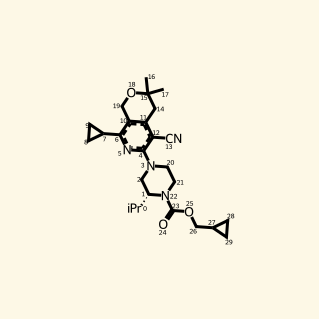 CC(C)[C@@H]1CN(c2nc(C3CC3)c3c(c2C#N)CC(C)(C)OC3)CCN1C(=O)OCC1CC1